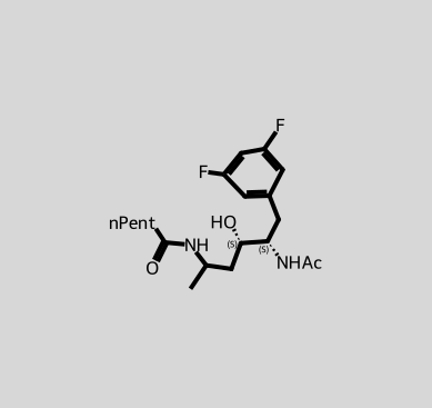 CCCCCC(=O)NC(C)C[C@H](O)[C@H](Cc1cc(F)cc(F)c1)NC(C)=O